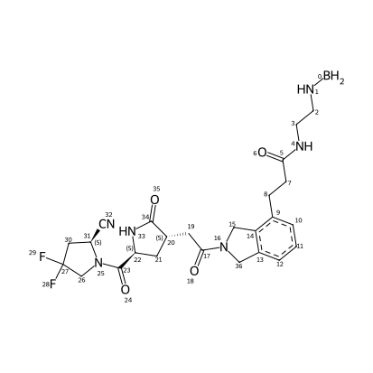 BNCCNC(=O)CCc1cccc2c1CN(C(=O)C[C@@H]1C[C@@H](C(=O)N3CC(F)(F)C[C@H]3C#N)NC1=O)C2